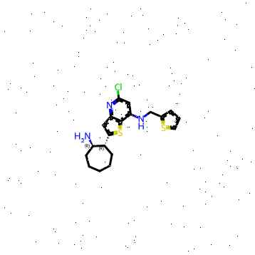 N[C@@H]1CCCCC[C@H]1c1cc2nc(Cl)cc(NCc3cccs3)c2s1